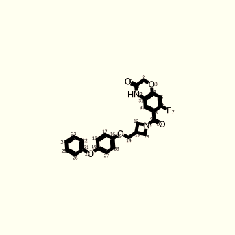 O=C1COc2cc(F)c(C(=O)N3CC(COc4ccc(Oc5ccccc5)cc4)C3)cc2N1